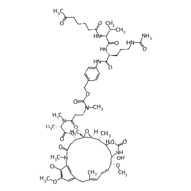 COc1cc2cc(c1Cl)N(C)C(=O)C[C@H](OC(=O)[C@H](C)N(C)C(=O)CCN(C)C(=O)OCc1ccc(NC(=O)[C@H](CCCNC(N)=O)NC(=O)[C@@H](NC(=O)CCCCC(C)=O)C(C)C)cc1)[C@]1(C)O[C@H]1[C@H](C)[C@@H]1C[C@@](O)(NC(=O)O1)[C@H](OC)/C=C/C=C(\C)C2